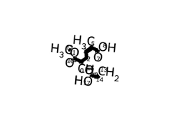 C=C(CC=C(C)C(=O)O)C(=O)OC.C=CC(=O)O